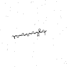 CC(C)COCCOCCOCCOCCNC(=O)COC(C)I